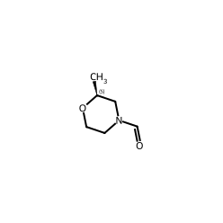 C[C@H]1CN(C=O)CCO1